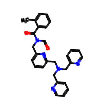 Cc1ccccc1C(=O)N(C=O)Cc1cccc(CN(Cc2ccccn2)Cc2ccccn2)n1